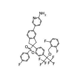 Nc1ccc(-c2ccc3c(c2)CC(c2ccc(C(OCc4c(F)cccc4F)(C(F)(F)F)C(F)(F)F)cc2)(S(=O)(=O)c2ccc(F)cc2)C3)cn1